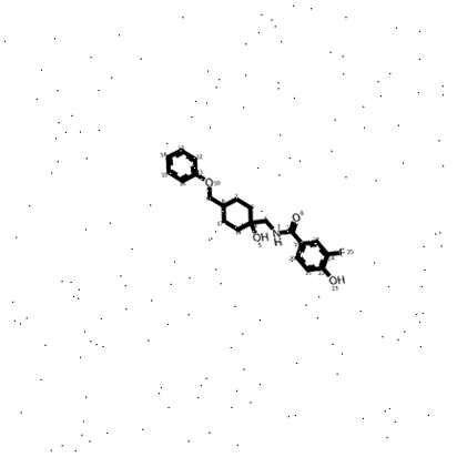 O=C(NCC1(O)CCC(COc2ccccc2)CC1)c1ccc(O)c(F)c1